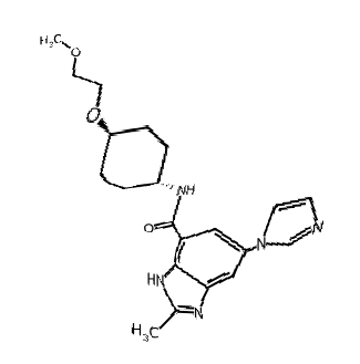 COCCO[C@H]1CC[C@H](NC(=O)c2cc(-n3ccnc3)cc3nc(C)[nH]c23)CC1